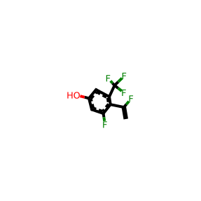 C=C(F)c1c(F)cc(O)cc1C(F)(F)F